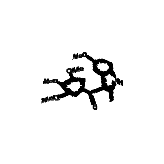 COc1ccc2[nH]c(C)c(C(=O)c3cc(OC)c(OC)c(OC)c3)c2c1